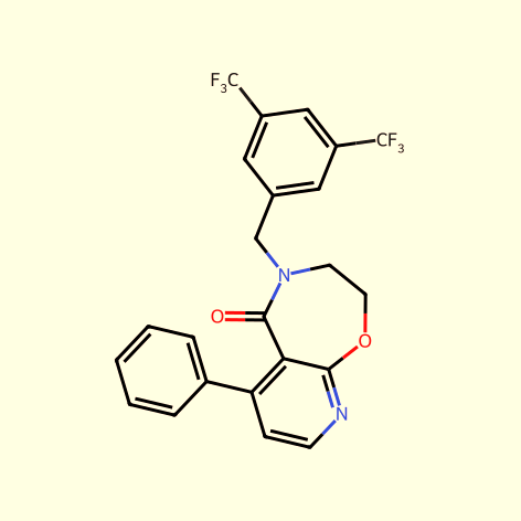 O=C1c2c(-c3ccccc3)ccnc2OCCN1Cc1cc(C(F)(F)F)cc(C(F)(F)F)c1